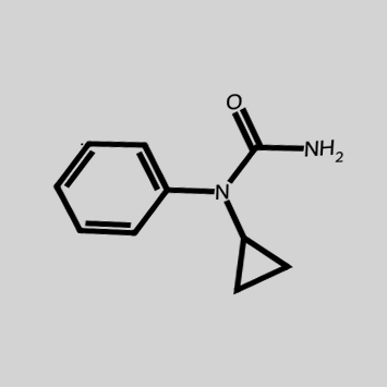 NC(=O)N(c1c[c]ccc1)C1CC1